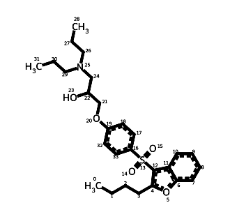 CCCCc1oc2ccccc2c1S(=O)(=O)c1ccc(OCC(O)CN(CCC)CCC)cc1